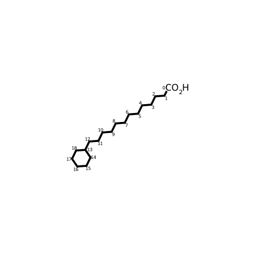 O=C(O)CCCCCCCCCCCCC1CCCCC1